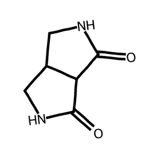 O=C1NCC2CNC(=O)C12